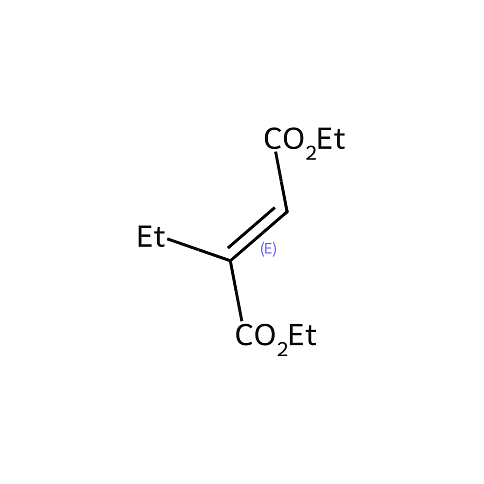 CCOC(=O)/C=C(\CC)C(=O)OCC